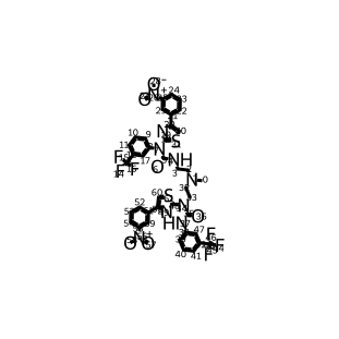 CN(CCNC(=O)N(c1cccc(C(F)(F)F)c1)c1nc(-c2cccc([N+](=O)[O-])c2)cs1)CCN(C(=O)Nc1cccc(C(F)(F)F)c1)c1nc(-c2cccc([N+](=O)[O-])c2)cs1